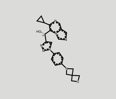 O[C@@H](c1cn(-c2ccc(N3CC4(COC4)C3)cc2)nn1)c1c(C2CC2)ncc2cncn12